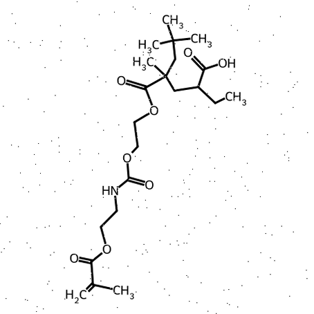 C=C(C)C(=O)OCCNC(=O)OCCOC(=O)C(C)(CC(CC)C(=O)O)CC(C)(C)C